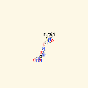 C[C@@H]1CN(CCO[C@H]2CC[C@H](N3C(=S)N(c4ccc(C#N)c(C(F)(F)F)c4)C(=O)C3(C)C)CC2)C[C@H](C)N1CC(=O)Nc1ccc(N2CCC(=O)NC2=O)cc1